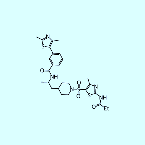 CCC(=O)Nc1nc(C)c(S(=O)(=O)N2CCC(C[C@H](C)NC(=O)c3cccc(-c4sc(C)nc4C)c3)CC2)s1